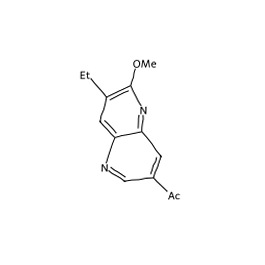 CCc1cc2ncc(C(C)=O)cc2nc1OC